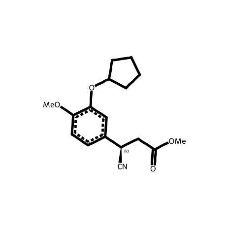 COC(=O)C[C@@H](C#N)c1ccc(OC)c(OC2CCCC2)c1